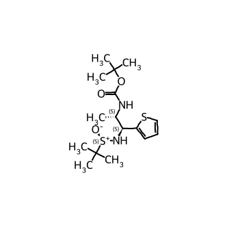 C[C@H](NC(=O)OC(C)(C)C)[C@H](N[S@+]([O-])C(C)(C)C)c1cccs1